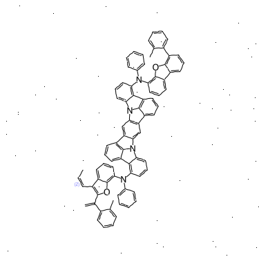 C=C(c1ccccc1C)c1oc2c(N(c3ccccc3)c3cccc4c3c3cccc5c6cc7c(cc6n4c53)c3cccc4c5c(N(c6ccccc6)c6cccc8c6oc6c(-c9ccccc9C)cccc68)cccc5n7c34)cccc2c1/C=C\C